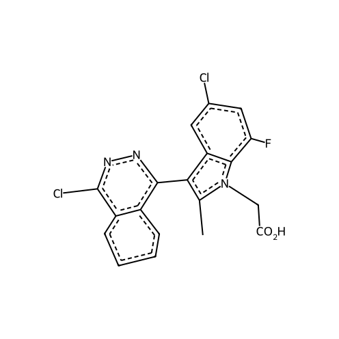 Cc1c(-c2nnc(Cl)c3ccccc23)c2cc(Cl)cc(F)c2n1CC(=O)O